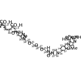 CCCCCNc1nc(N)nc2ccn(Cc3ccc(CN4CCN(C(=O)NCCOCCOCCOCCn5cc(CNC(=O)CC(C(=O)O)C6CC6SC[C@H](N)C(=O)O)nn5)CC4)cc3OC)c12